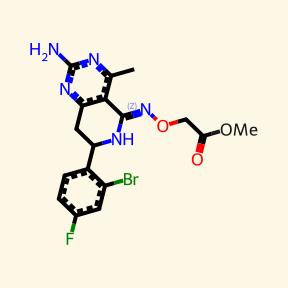 COC(=O)CO/N=C1\NC(c2ccc(F)cc2Br)Cc2nc(N)nc(C)c21